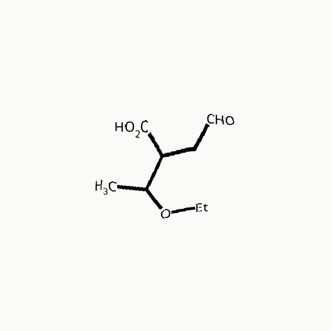 CCOC(C)C(CC=O)C(=O)O